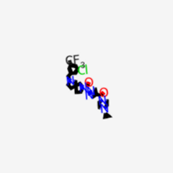 O=C(c1cnn(C(=O)N2CCC3(CCN(Cc4cc(Cl)cc(C(F)(F)F)c4)C3)C2)c1)N1CCN(C2CC2)CC1